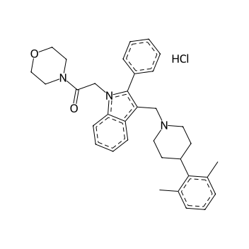 Cc1cccc(C)c1C1CCN(Cc2c(-c3ccccc3)n(CC(=O)N3CCOCC3)c3ccccc23)CC1.Cl